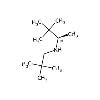 C[C@@H](NCC(C)(C)C)C(C)(C)C